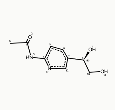 CC(=O)Nc1ccc([C@@H](O)CO)cn1